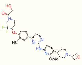 COc1nc(Nc2nccc(-c3ccc(OC4CCN(C(=O)CO)CC4(F)F)c(C#N)c3)n2)ccc1C1CCN(C2COC2)CC1